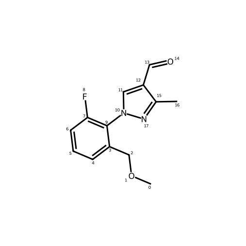 COCc1cccc(F)c1-n1cc(C=O)c(C)n1